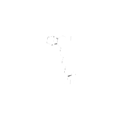 O=C(O)CCCCSCC1C2CCC(O2)C1CO